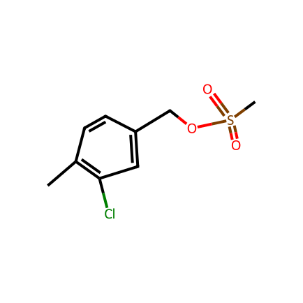 Cc1ccc(COS(C)(=O)=O)cc1Cl